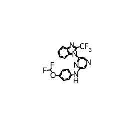 FC(F)Oc1ccc(Nc2cncc(-n3c(C(F)(F)F)nc4ccccc43)n2)cc1